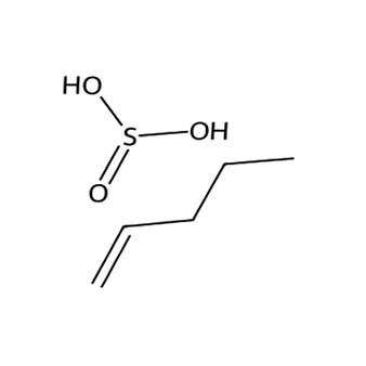 C=CCCC.O=S(O)O